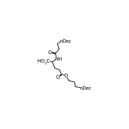 CCCCCCCCCCCCCOC(=O)CC[C@H](NC(=O)CCCCCCCCCCCC)C(=O)O